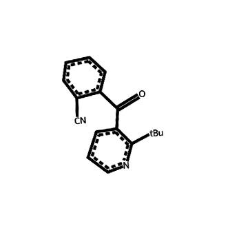 CC(C)(C)c1ncccc1C(=O)c1ccccc1C#N